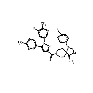 C=C1NCN(c2ccc(F)cc2)C12CCN(C(=O)c1cc(-c3ccc(C)nc3)n(-c3ccc(C(F)(F)F)c(F)c3)n1)CC2